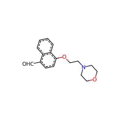 O=Cc1ccc(OCCN2CCOCC2)c2ccccc12